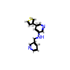 c1cncc(CNc2cncc(-c3ccsc3)c2)c1